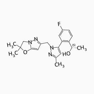 Cc1cc(-c2cc(F)ccc2[C@H](C)O)n(Cc2cc3n(n2)CC(C)(C)O3)n1